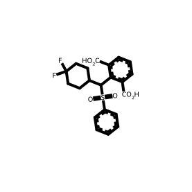 O=C(O)c1cccc(C(=O)O)c1C(C1CCC(F)(F)CC1)S(=O)(=O)c1ccccc1